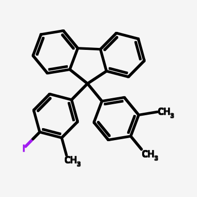 Cc1ccc(C2(c3ccc(I)c(C)c3)c3ccccc3-c3ccccc32)cc1C